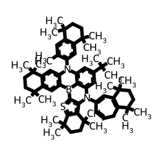 Cc1cc2c(cc1N1c3cc4c(cc3B3c5sc6c(c5N(C5=CC7=C(CC=C5)C(C)(C)CCC7(C)C)c5cc(C(C)(C)C)cc1c53)C(C)(C)CCC6(C)C)C(C)(C)CCC4(C)C)C(C)(C)CCC2(C)C